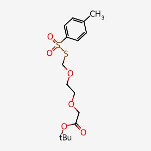 Cc1ccc(S(=O)(=O)SCOCCOCC(=O)OC(C)(C)C)cc1